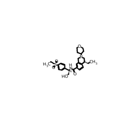 CC[C@@H]1CN(C2CCOCC2)Cc2cc(C(=O)N[C@@H](CO)c3ccc(S(=O)(=O)CC)cc3)ccc21